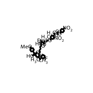 CCC(NC(=O)CCCCC[N+]1=C(/C=C2\C(=O)C(c3ccc(OC)cc3)=C2O)C(C)(C)c2cc(F)ccc21)C(=O)NCCOc1cc([N+](=O)[O-])c(C(C)OC(=O)Oc2ccc([N+](=O)[O-])cc2)cc1C